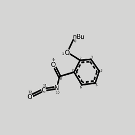 CCCCOc1ccccc1C(=O)N=C=O